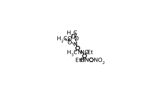 C=CC(=O)OCCN(CCOC(=O)C=C)c1ccc(/N=N/c2cc(OCC)c(Nc3ccc([N+](=O)[O-])cc3)cc2OCC)c(C)c1